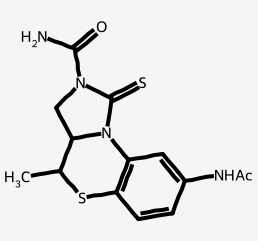 CC(=O)Nc1ccc2c(c1)N1C(=S)N(C(N)=O)CC1C(C)S2